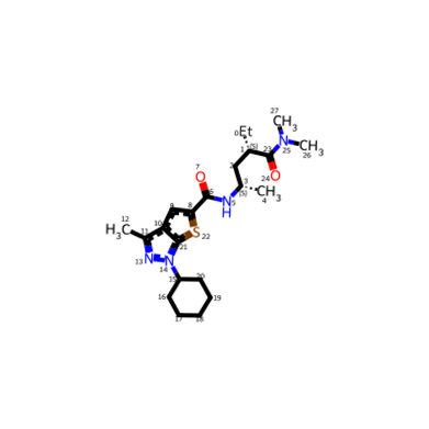 CC[C@@H](C[C@H](C)NC(=O)c1cc2c(C)nn(C3CCCCC3)c2s1)C(=O)N(C)C